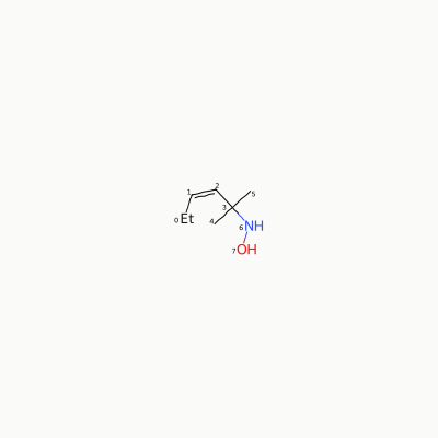 CC/C=C\C(C)(C)NO